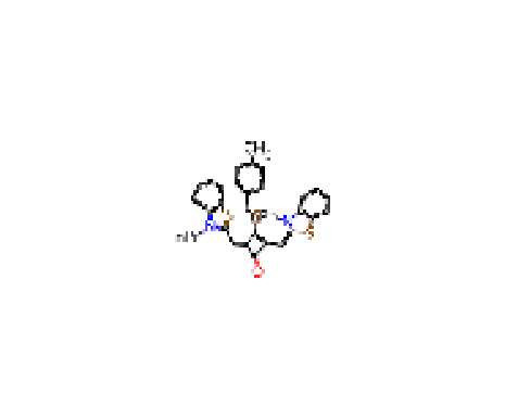 CCCN1/C(=C\C2=C(SCc3ccc(C)cc3)C(=C\c3sc4ccccc4[n+]3CCC)/C2=O)Sc2ccccc21